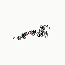 COc1ccc(C2=CN3C(=O)c4ccc(OCCCOc5ccc6c(c5)N=C[C@@H]5CC(c7ccc(NC(=O)[C@H](C)NC(=O)C(NC(=O)CCCCCN8C(=O)C=C(C)C8=O)C(C)C)cc7)=CN5C6=O)cc4N=C[C@@H]3C2)cc1